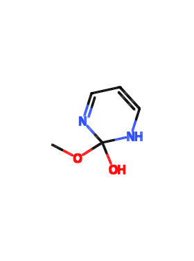 COC1(O)N=CC=CN1